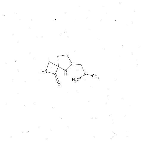 CN(C)CC1CCC2(CNC2=O)N1